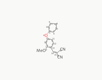 COc1cc(Oc2ccccc2)ccc1C=C(C#N)C#N